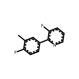 Cc1cc(-c2ncccc2F)ccc1F